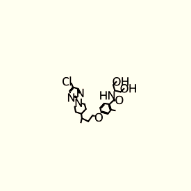 Cc1cc(OCCC(C)C2CCN(c3ncc(Cl)cn3)CC2)ccc1C(=O)NC(CO)CO